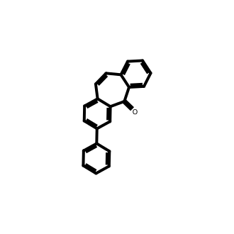 O=c1c2ccccc2ccc2ccc(-c3ccccc3)cc12